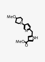 COC(=O)c1c[nH]c(Cc2ccc(N3CCC(OC)CC3)cn2)c1